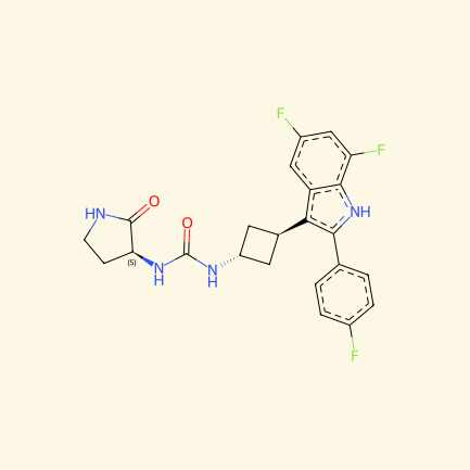 O=C(N[C@H]1CCNC1=O)N[C@H]1C[C@H](c2c(-c3ccc(F)cc3)[nH]c3c(F)cc(F)cc32)C1